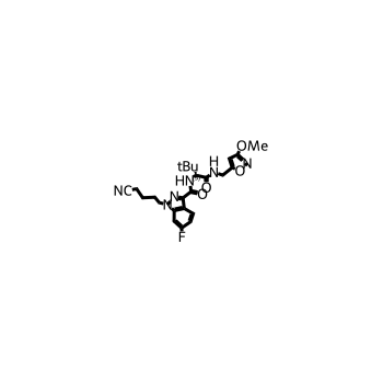 COc1cc(CNC(=O)[C@@H](NC(=O)c2nn(CCCCC#N)c3cc(F)ccc23)C(C)(C)C)on1